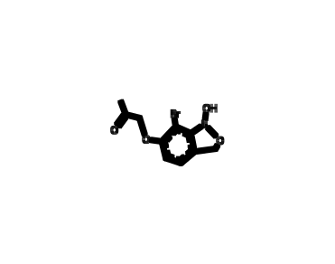 CC(=O)COc1ccc2c(c1Br)B(O)OC2